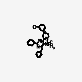 CC(Nc1nnc(-c2ccccc2)nc1Cc1ccccc1)N1CCN(c2cccc(Cl)c2)CC1